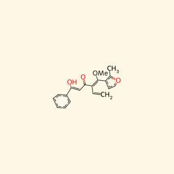 C=C/C(C(=O)/C=C(\O)c1ccccc1)=C(/OC)c1ccoc1C